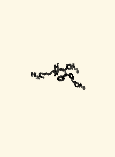 CCCCNC=C(C)C(=O)OCC